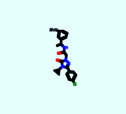 COc1cccc(C(C)NC(=O)Cn2nc(-c3ccc(Cl)cc3)n(C3CC3)c2=O)c1